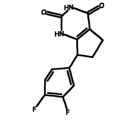 O=c1[nH]c2c(c(=O)[nH]1)CCC2c1ccc(F)c(F)c1